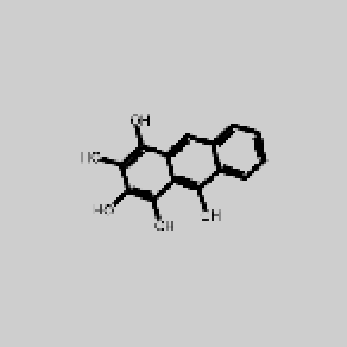 Oc1c(O)c(O)c2c(O)c3ccccc3cc2c1O